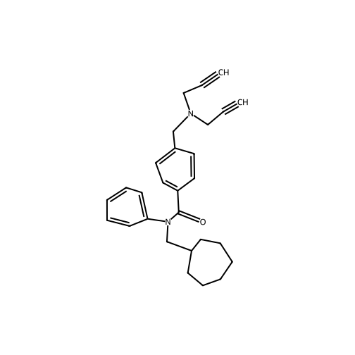 C#CCN(CC#C)Cc1ccc(C(=O)N(CC2CCCCCC2)c2ccccc2)cc1